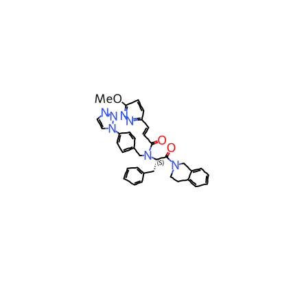 COc1ccc(C=CC(=O)N(Cc2ccc(-n3ccnn3)cc2)[C@@H](Cc2ccccc2)C(=O)N2CCc3ccccc3C2)nn1